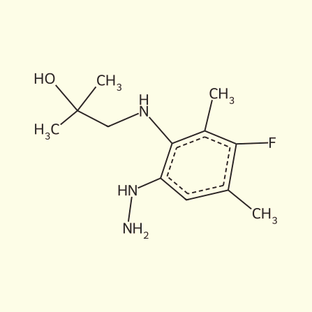 Cc1cc(NN)c(NCC(C)(C)O)c(C)c1F